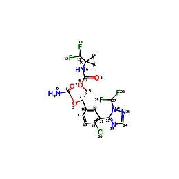 NC(=O)O[C@H](COC(=O)NC1(C(F)F)CC1)c1ccc(Cl)c(-c2ncnn2C(F)F)c1